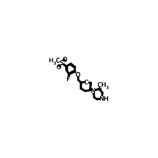 C[C@@H]1CNCCN1C1CCC(COc2ccc(S(C)(=O)=O)cc2F)CC1